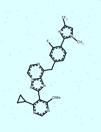 COc1ncnc(C2CC2)c1-c1nc2c(Cc3ccc(-c4nc(C(F)(F)F)cn4C)c(F)c3)nccn2n1